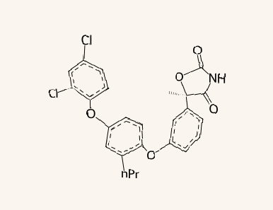 CCCc1cc(Oc2ccc(Cl)cc2Cl)ccc1Oc1cccc([C@@]2(C)OC(=O)NC2=O)c1